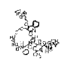 C=C[C@@H]1C[C@]1(NC(=O)[C@@H]1C[C@@H]2CN1C(=O)[C@H](C1CCCCC1)NC(=O)O[C@@H]1C[C@H]1CCCCCc1c(nc3ccccc3c1OCCCS(=O)(=O)c1nccs1)O2)C(=O)NS(=O)(=O)C1(C)CC1